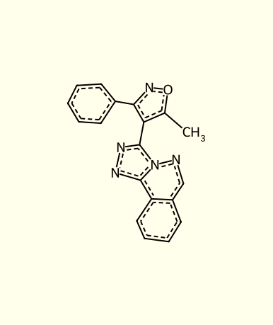 Cc1onc(-c2ccccc2)c1-c1nnc2c3ccccc3cnn12